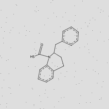 O=C(S)N1c2ccccc2CCC1Cc1ccccc1